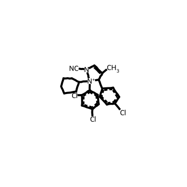 CC1=CN(C#N)[N+](c2ccc(Cl)cc2Cl)(C2CCCCC2)C1c1ccc(Cl)cc1